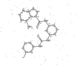 Cc1cccc(NC(=O)Nc2cccc(NC(=O)c3ccn4ncnc(N)c34)c2)c1